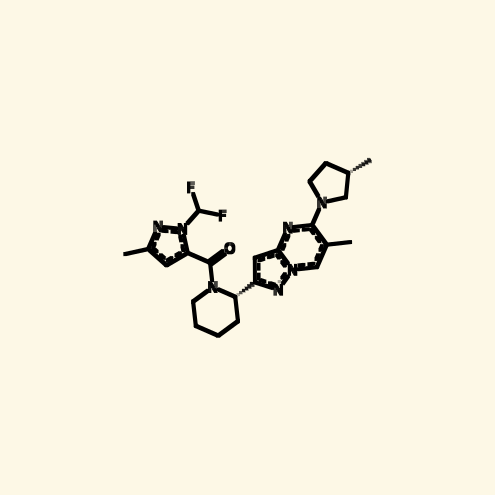 Cc1cc(C(=O)N2CCCC[C@H]2c2cc3nc(N4CC[C@H](C)C4)c(C)cn3n2)n(C(F)F)n1